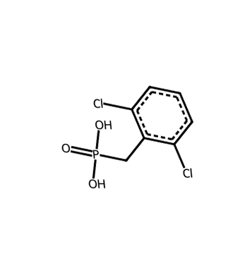 O=P(O)(O)Cc1c(Cl)cccc1Cl